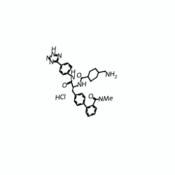 CNC(=O)c1ccccc1-c1ccc(C[C@H](NC(=O)C2CCC(CN)CC2)C(=O)Nc2ccc(-c3nn[nH]n3)cc2)cc1.Cl